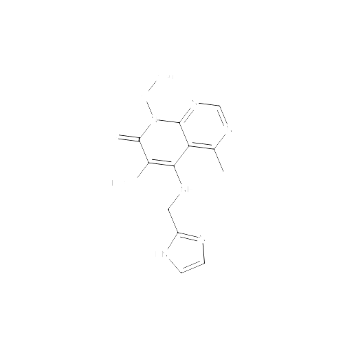 CCCCOn1c(=O)c(C(=O)O)c(NCc2ncc[nH]2)c2c(C)ncnc21